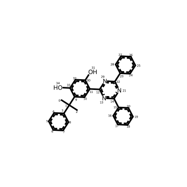 CC(C)(c1ccccc1)c1cc(-c2nc(-c3ccccc3)nc(-c3ccccc3)n2)c(O)cc1O